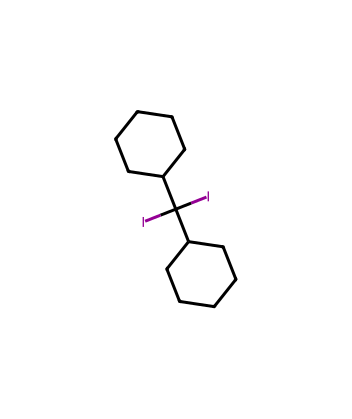 IC(I)(C1CCCCC1)C1CCCCC1